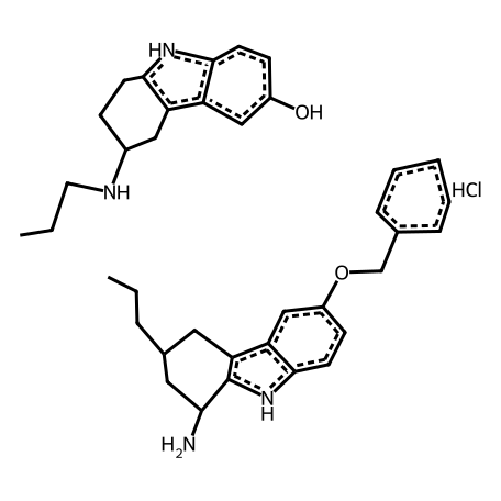 CCCC1Cc2c([nH]c3ccc(OCc4ccccc4)cc23)C(N)C1.CCCNC1CCc2[nH]c3ccc(O)cc3c2C1.Cl